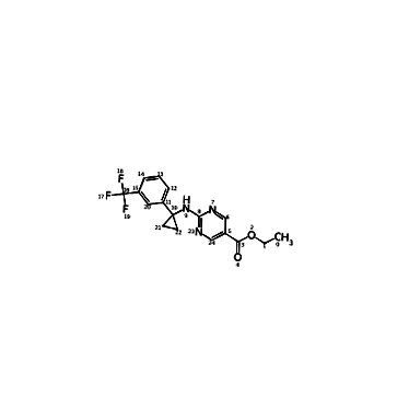 CCOC(=O)c1cnc(NC2(c3cccc(C(F)(F)F)c3)CC2)nc1